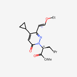 CCO/C=C/c1nn([C@@H](CC(C)C)C(=O)OC)c(=O)cc1C1CC1